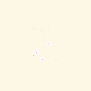 CC#Cc1cnc(N2CCCC(F)(F)CC2)c(C(=O)Nc2cccc(C)c2)c1C